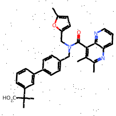 Cc1ccc(CN(Cc2ccc(-c3cccc(C(C)(C)C(=O)O)c3)cc2)C(=O)c2c(C)c(C)nc3cccnc23)o1